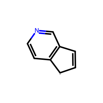 [CH]1C=Cc2cnccc21